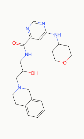 O=C(NCC(O)CN1CCc2ccccc2C1)c1cc(NC2CCOCC2)ncn1